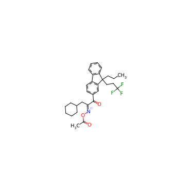 CCCC1(CCC(F)(F)F)c2ccccc2-c2ccc(C(=O)/C(CC3CCCCC3)=N/OC(C)=O)cc21